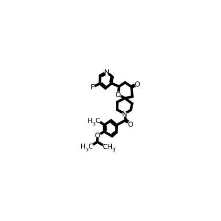 Cc1cc(C(=O)N2CCC3(CC2)CC(=O)CC(c2cncc(F)c2)O3)ccc1OC(C)C